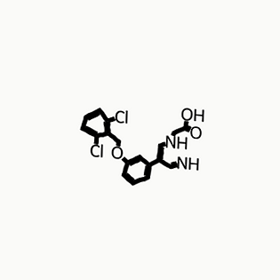 N=C/C(=C\NCC(=O)O)c1cccc(OCc2c(Cl)cccc2Cl)c1